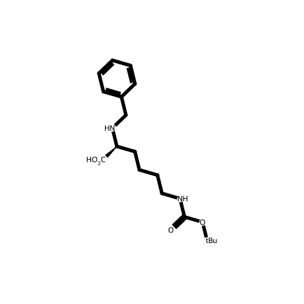 CC(C)(C)OC(=O)NCCCC[C@H](NCc1ccccc1)C(=O)O